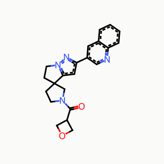 O=C(C1COC1)N1CCC2(CCn3nc(-c4cnc5ccccc5c4)cc32)C1